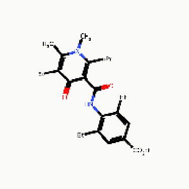 CCCc1c(C(=O)Nc2c(CC)cc(C(=O)OCC)cc2CC)c(=O)c(CC)c(C)n1C